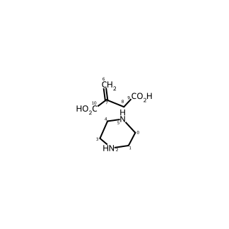 C1CNCCN1.C=C(CC(=O)O)C(=O)O